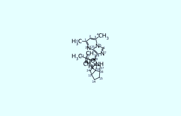 Cc1cc(C)n2cnc(C(=O)N[C@H]3C4CCC3C[C@@H](OC(C)(C)C)C4)c2n1